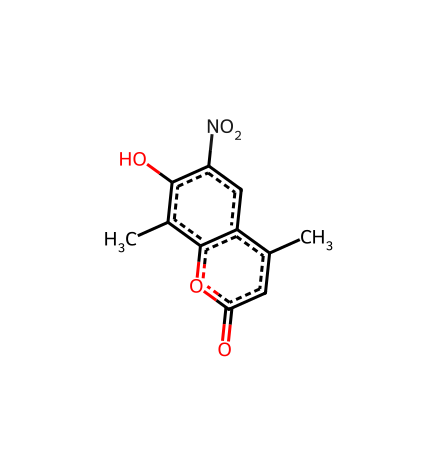 Cc1cc(=O)oc2c(C)c(O)c([N+](=O)[O-])cc12